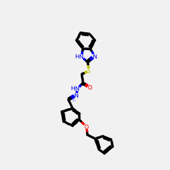 O=C(CSc1nc2ccccc2[nH]1)N/N=C/c1cccc(OCc2ccccc2)c1